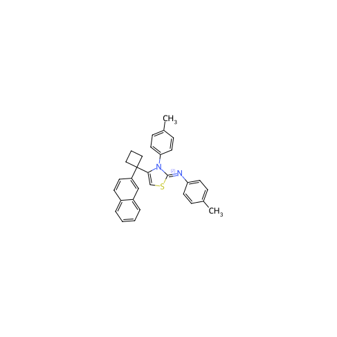 Cc1ccc(/N=c2\scc(C3(c4ccc5ccccc5c4)CCC3)n2-c2ccc(C)cc2)cc1